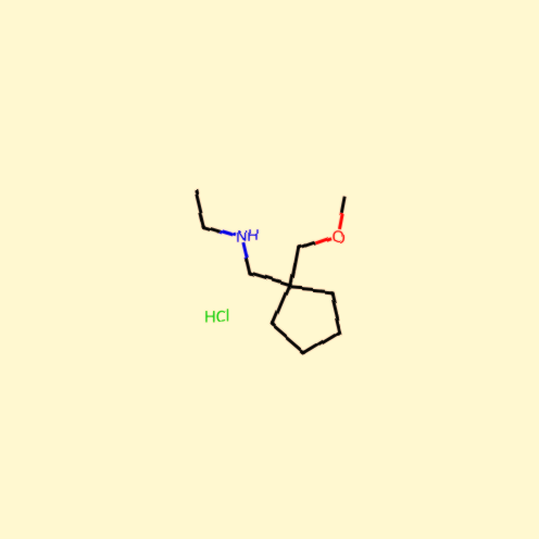 CCNCC1(COC)CCCC1.Cl